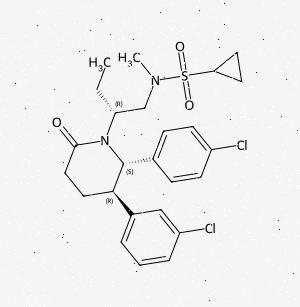 CC[C@H](CN(C)S(=O)(=O)C1CC1)N1C(=O)CC[C@H](c2cccc(Cl)c2)[C@H]1c1ccc(Cl)cc1